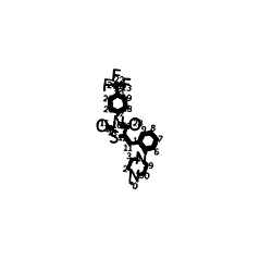 CN1CCN(c2ccccc2/C=C2/SC(=O)N(c3ccc(C(F)(F)F)cc3)C2=O)CC1